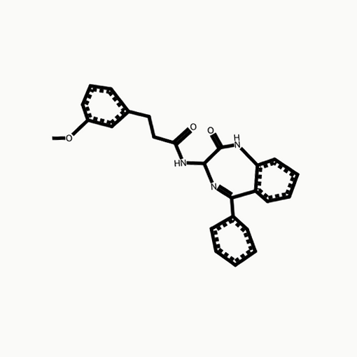 COc1cccc(CCC(=O)NC2N=C(c3ccccc3)c3ccccc3NC2=O)c1